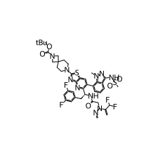 C=NN(CC(=O)N[C@@H](Cc1cc(F)cc(F)c1)c1nc2nc(N3CCC4(CC3)CN(C(=O)OC(C)(C)C)C4)sc2cc1-c1cccc2c(NS(C)(=O)=O)nn(C)c12)C(=C)C(F)F